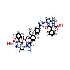 Cc1c(-c2ccc(-c3c[nH]c([C@@H]4CC[C@H](C)N4C(=O)[C@H](NC(=O)O)c4ccccc4)n3)cc2)ccc(-c2c[nH]c([C@@H]3CC[C@H](C)N3C(=O)[C@H](NC(=O)O)c3ccccc3)n2)c1C